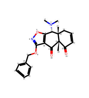 CN(C)[C@H]1c2onc(OCc3ccccc3)c2C(=O)[C@@]2(C)C(=O)C=CC[C@@]12C